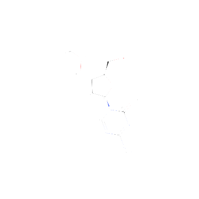 Nc1ncn([C@H]2C[C@H](OO[SiH3])[C@@H](CO)O2)c(=O)n1